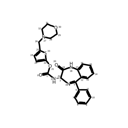 O=C(N[C@H]1N=C(c2ccccc2)c2ccccc2NC1=O)Oc1ccc(CN2CCOCC2)s1